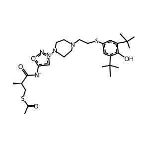 CC(=O)SC[C@@H](C)C(=O)[N-]c1c[n+](N2CCN(CCSc3cc(C(C)(C)C)c(O)c(C(C)(C)C)c3)CC2)no1